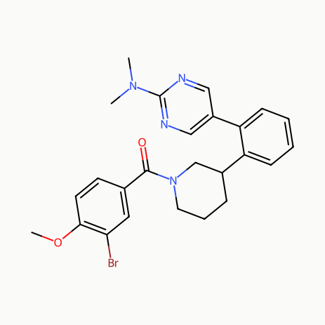 COc1ccc(C(=O)N2CCCC(c3ccccc3-c3cnc(N(C)C)nc3)C2)cc1Br